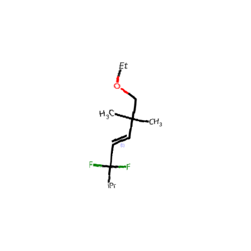 CCOCC(C)(C)/C=C/C(F)(F)C(C)C